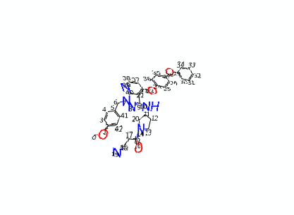 COc1ccc(Cn2nc(N[C@@H]3CCN(C(=O)CC#N)C3)c3c(Oc4ccc(Oc5ccccc5)cc4)ccnc32)cc1